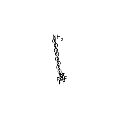 NCCOCCOCCOCCOCCOCCOCCOCCOCC(=O)Sc1c(F)c(F)c(F)c(F)c1F